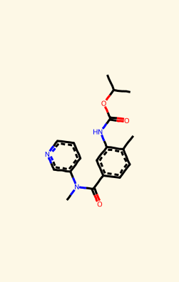 Cc1ccc(C(=O)N(C)c2cccnc2)cc1NC(=O)OC(C)C